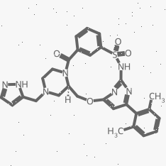 Cc1cccc(C)c1-c1cc2nc(n1)NS(=O)(=O)c1cccc(c1)C(=O)N1CCN(Cc3ccn[nH]3)C[C@@H]1CO2